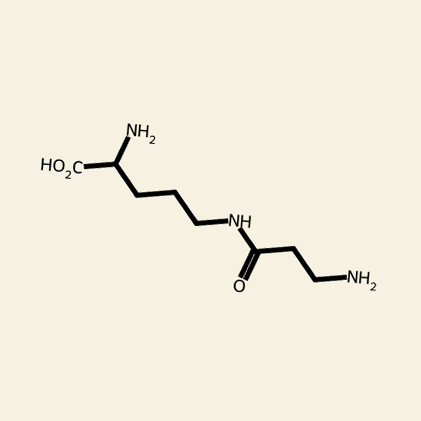 NCCC(=O)NCCCC(N)C(=O)O